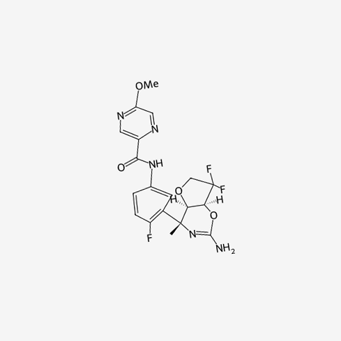 COc1cnc(C(=O)Nc2ccc(F)c([C@@]3(C)N=C(N)O[C@H]4[C@@H]3OCC4(F)F)c2)cn1